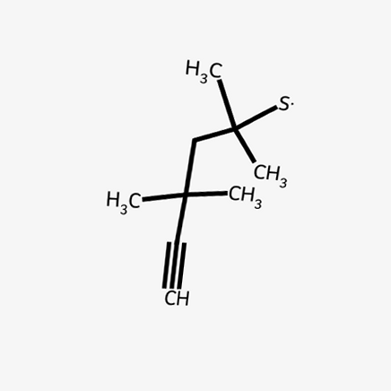 C#CC(C)(C)CC(C)(C)[S]